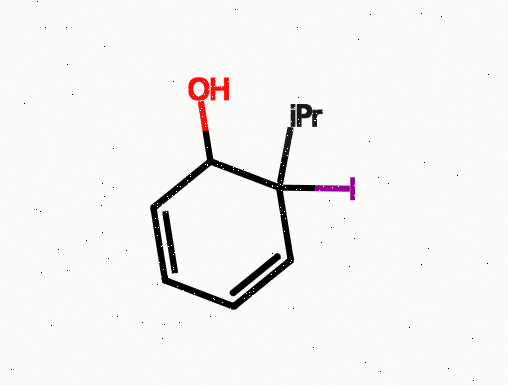 CC(C)C1(I)C=CC=CC1O